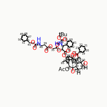 CC(=O)O[C@H]1C(=O)[C@]23C[C@H]2C[C@H]2OC[C@@]2(OC(C)=O)[C@H]3[C@H](CC(=O)c2ccccc2)[C@]2(O)C[C@H](OC(=O)[C@H](OC(=O)COC(=O)CCNC(=O)OCc3ccccc3)[C@@H](NC(=O)OC(C)(C)C)c3ccccc3)C(C)=C1C2(C)C